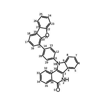 O=c1[nH]c2c3ccccc3n(-c3ccc(-c4cccc5c4oc4ccccc45)cc3)c2c2ccccc12